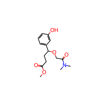 COC(=O)CCC(OCC(=O)N(C)C)c1cccc(O)c1